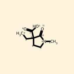 CCC1(C(=O)O)CCN(C)C1=O